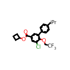 CC(C)c1ccc(-c2cc(C(=O)OC3CCC3)cc(Cl)c2OCC(F)(F)F)cc1